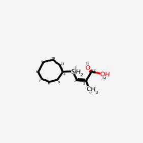 CC(=C[SiH2]C1CCCCCCC1)C(=O)O